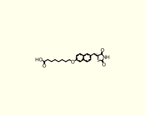 O=C(O)CCCCCCCOc1ccc2cc(/C=C3\SC(=O)NC3=O)ccc2c1